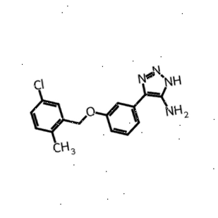 Cc1ccc(Cl)cc1COc1cccc(-c2nn[nH]c2N)c1